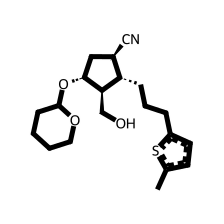 Cc1ccc(CCC[C@@H]2[C@@H](CO)[C@H](OC3CCCCO3)C[C@H]2C#N)s1